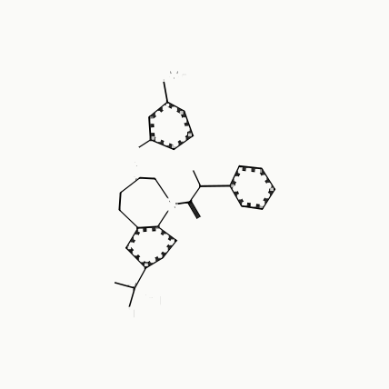 COc1cccc(O[C@H]2CCc3cc([C@](C)(O)C(F)(F)F)ccc3N(C(=O)C(C)c3ccccc3)C2)c1